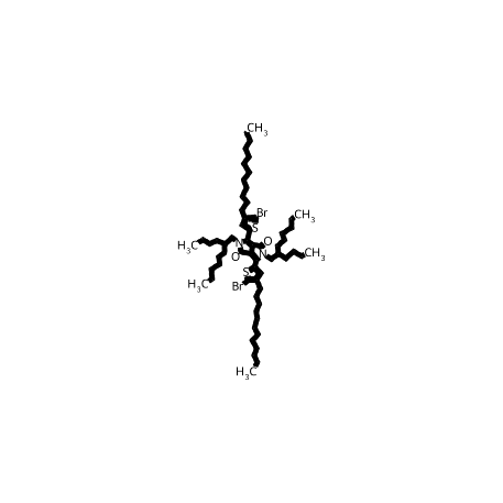 CCCCCCCCCCCCc1cc(C2=C3C(=O)N(CC(CCCC)CCCCCC)C(c4cc(CCCCCCCCCCCC)c(Br)s4)=C3C(=O)N2CC(CCCC)CCCCCC)sc1Br